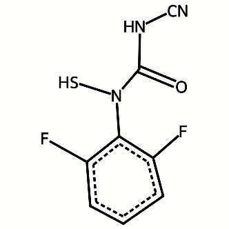 N#CNC(=O)N(S)c1c(F)cccc1F